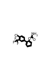 NC(=O)Oc1ccccc1-c1ccc(Cl)c(C(F)(F)F)c1